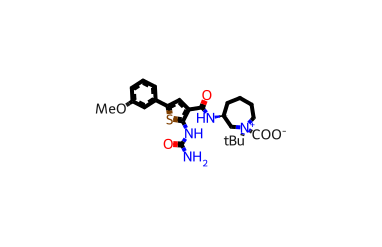 COc1cccc(-c2cc(C(=O)N[C@H]3CCCC[N+](C(=O)[O-])(C(C)(C)C)C3)c(NC(N)=O)s2)c1